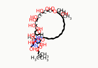 C[C@@H]1[C@H](O)[C@@H](C)/C=C/C=C/C=C/C=C/C=C/C=C/C=C/[C@H](O[C@@H]2O[C@H](C)[C@@H](O)[C@H](NC(=O)OCC[Si](C)(C)C)[C@@H]2O)C[C@@H]2O[C@](O)(C[C@@H](O)C[C@@H](O)[C@H](O)CC[C@@H](O)C[C@@H](O)CC(=O)O[C@H]1C)C[C@H](O)[C@H]2NC(=O)NCCCO